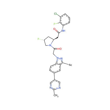 CC(=O)c1nn(CC(=O)N2C[C@H](F)C[C@H]2CC(=O)Nc2cccc(Cl)c2F)c2ccc(-c3cnc(C)nc3)cc12